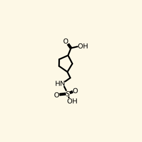 O=C(O)C1CCC(CNS(=O)(=O)O)C1